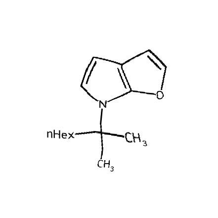 CCCCCCC(C)(C)n1ccc2ccoc21